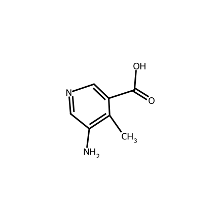 Cc1c(N)cncc1C(=O)O